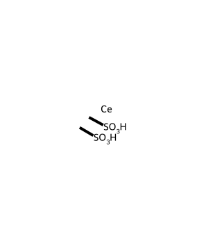 CS(=O)(=O)O.CS(=O)(=O)O.[Ce]